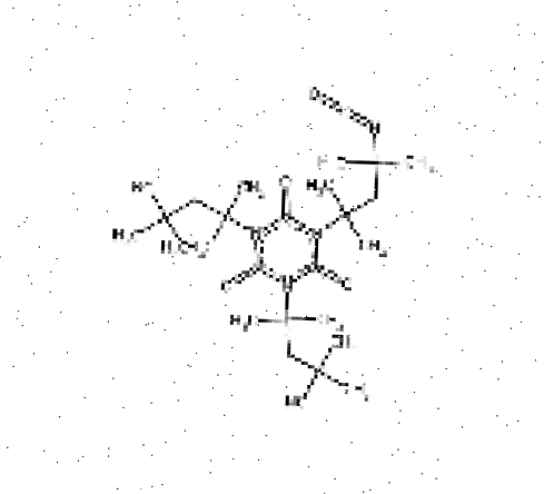 CC(C)(C#N)CC(C)(C)n1c(=O)n(C(C)(C)CC(C)(C)C#N)c(=O)n(C(C)(C)CC(C)(C)N=C=O)c1=O